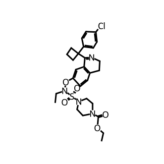 CCOC(=O)N1CCN(S(=O)(=O)N(CC)Oc2ccc3c(c2)C(C2(c4ccc(Cl)cc4)CCC2)=NCC3)CC1